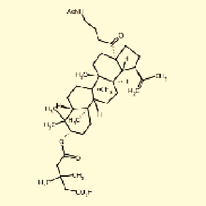 C=C(C)[C@@H]1CC[C@]2(C(=O)CCCNC(C)=O)CC[C@]3(C)[C@H](CC[C@@H]4[C@@]5(C)CC[C@H](OC(=O)CC(C)(C)CC(=O)O)C(C)(C)[C@@H]5CC[C@]43C)[C@@H]12